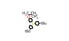 C=C(C)C(=C)Oc1ccc([S+](c2ccc(C(C)(C)C)cc2)c2ccc(C(C)(C)C)cc2)cc1